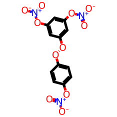 O=[N+]([O-])Oc1ccc(OOc2cc(O[N+](=O)[O-])cc(O[N+](=O)[O-])c2)cc1